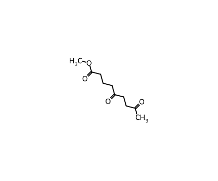 COC(=O)CCCC(=O)CCC(C)=O